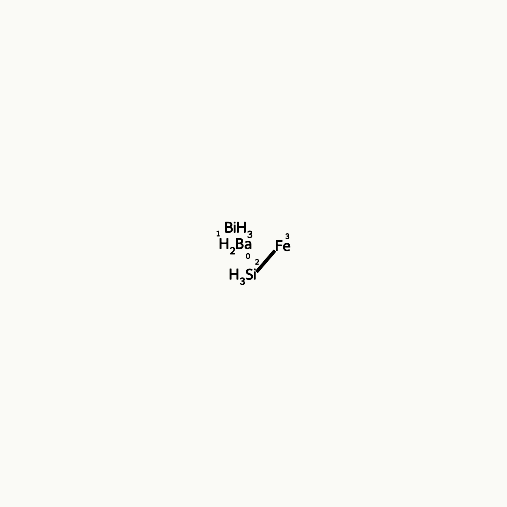 [BaH2].[BiH3].[SiH3][Fe]